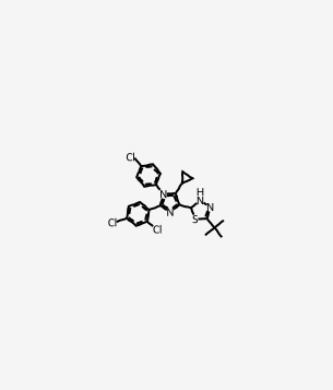 CC(C)(C)C1=NNC(c2nc(-c3ccc(Cl)cc3Cl)n(-c3ccc(Cl)cc3)c2C2CC2)S1